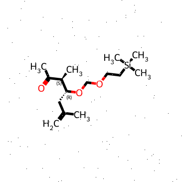 C=C(C)C[C@@H](OCOCC[Si](C)(C)C)[C@H](C)C(C)=O